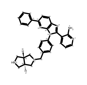 Nc1ncccc1-c1nc2ccc(-c3ccccc3)nc2n1-c1ccc(CN2C[C@H]3CNC[C@@H]3C2)cc1